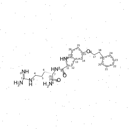 N=C(N)NCCC[C@H](NC(=O)c1cc2cc(OCCc3ccccc3)ccc2[nH]1)C(N)=O